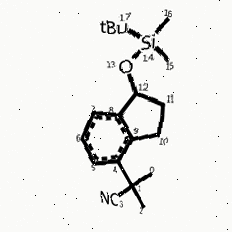 CC(C)(C#N)c1cccc2c1CCC2O[Si](C)(C)C(C)(C)C